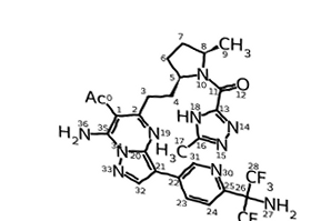 CC(=O)c1c(CC[C@H]2CC[C@@H](C)N2C(=O)c2nnc(C)[nH]2)nc2c(-c3ccc(C(N)(C(F)(F)F)C(F)(F)F)nc3)cnn2c1N